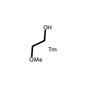 COCCO.[Tm]